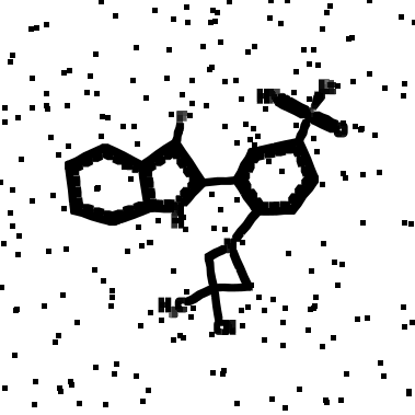 CC[S@@](=N)(=O)c1ccc(N2CC(C)(C#N)C2)c(-c2[nH]c3ccccc3c2F)c1